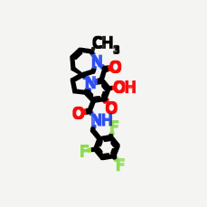 C[C@H]1C=CC[C@]23CCc4c(C(=O)NCc5c(F)cc(F)cc5F)c(=O)c(O)c(n42)C(=O)N1C3